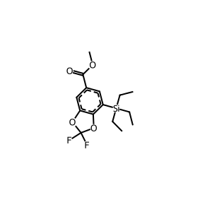 CC[Si](CC)(CC)c1cc(C(=O)OC)cc2c1OC(F)(F)O2